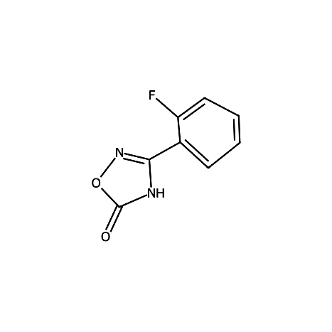 O=c1[nH]c(-c2ccccc2F)no1